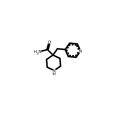 NC(=O)C1(Cc2ccncc2)CCNCC1